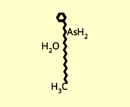 CCCCCCCCCCCCCCCC([AsH2])CCc1ccccc1.O